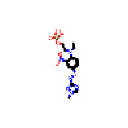 CCN(CCOS(=O)(=O)O)c1ccc(N=Nc2ncn(C)n2)cc1[N+](=O)[O-]